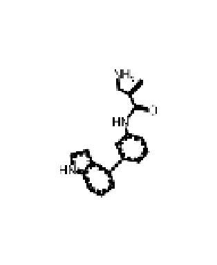 C=C(CN)C(=O)Nc1cccc(-c2cccc3[nH]ccc23)c1